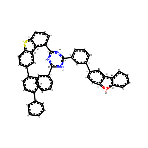 c1ccc(-c2ccc(-c3ccc4sc5cccc(-c6nc(-c7ccccc7)nc(-c7cccc(-c8ccc9oc%10ccccc%10c9c8)c7)n6)c5c4c3)cc2)cc1